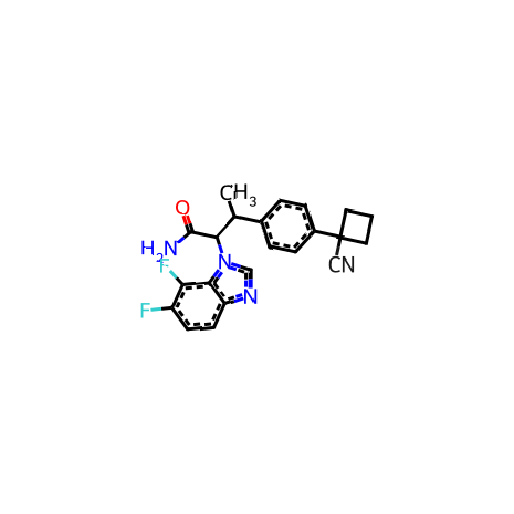 CC(c1ccc(C2(C#N)CCC2)cc1)C(C(N)=O)n1cnc2ccc(F)c(F)c21